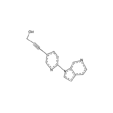 OCC#Cc1ccc(-n2ccc3ccncc32)nc1